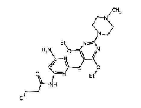 CCOc1nc(N2CCN(C)CC2)nc(OCC)c1Sc1nc(N)cc(NC(=O)CCCl)n1